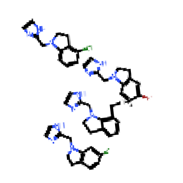 Brc1ccc2c(c1)CCN2Cc1ncc[nH]1.CCc1cccc2c1N(Cc1ncc[nH]1)CC2.Clc1ccc2c(c1)N(Cc1ncc[nH]1)CC2.Clc1cccc2c1CCN2Cc1ncc[nH]1